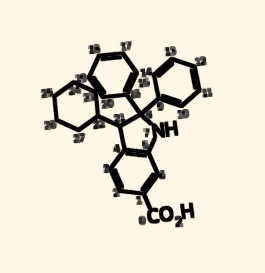 O=C(O)c1ccc2c(c1)NC(c1ccccc1)(c1ccccc1)C2C1CCCCC1